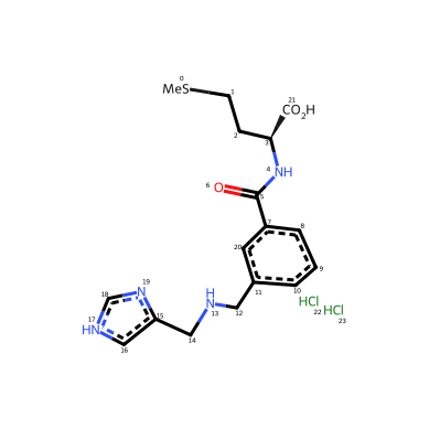 CSCC[C@H](NC(=O)c1cccc(CNCc2c[nH]cn2)c1)C(=O)O.Cl.Cl